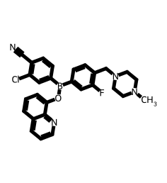 CN1CCN(Cc2ccc(B(Oc3cccc4cccnc34)c3ccc(C#N)c(Cl)c3)cc2F)CC1